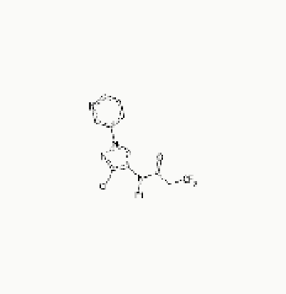 CCN(C(=O)CC(F)(F)F)c1cn(-c2cccnc2)nc1Cl